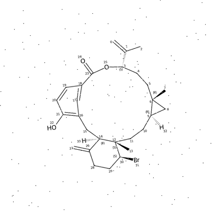 C=C(C)[C@@H]1CC[C@]2(C)C[C@H]2CC[C@@]2(C)[C@H](Cc3cc(ccc3O)C(=O)O1)C(=C)CC[C@@H]2Br